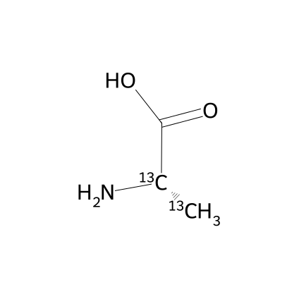 [13CH3][13C@H](N)C(=O)O